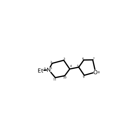 CCN1CCC(C2CCOC2)CC1